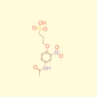 CC(=O)Nc1ccc(OCCCS(=O)(=O)O)c([N+](=O)[O-])c1